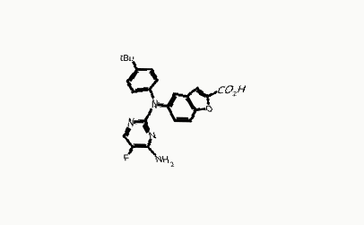 CC(C)(C)c1ccc(N(c2ccc3oc(C(=O)O)cc3c2)c2ncc(F)c(N)n2)cc1